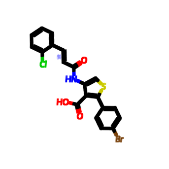 O=C(/C=C/c1ccccc1Cl)Nc1csc(-c2ccc(Br)cc2)c1C(=O)O